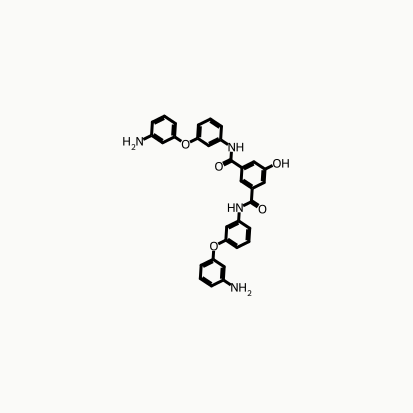 Nc1cccc(Oc2cccc(NC(=O)c3cc(O)cc(C(=O)Nc4cccc(Oc5cccc(N)c5)c4)c3)c2)c1